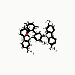 Cc1ccc2c3ccc(C)cc3n(-c3cc(-c4c(F)cccc4F)c(-n4c5cc(C)ccc5c5ccc(C)cc54)cc3C#N)c2c1